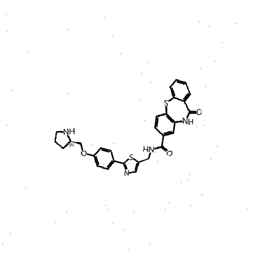 O=C(NCc1cnc(-c2ccc(OC[C@H]3CCCN3)cc2)s1)c1ccc2c(c1)NC(=O)c1ccccc1S2